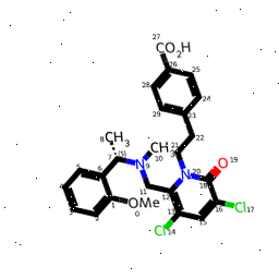 COc1ccccc1[C@H](C)N(C)Cc1c(Cl)cc(Cl)c(=O)n1CCc1ccc(C(=O)O)cc1